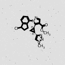 COC(=O)c1cnn(-c2cccc3c2CCC3Cl)c1[C@@H]1C[C@H]1c1cn(C)nn1